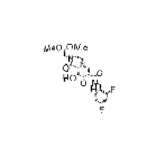 COC(Cn1ccn2cc(C(=O)NCc3ccc(F)cc3F)c(=O)c(O)c2c1=O)OC